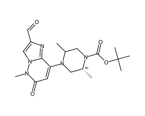 CC1CN(C(=O)OC(C)(C)C)[C@H](C)CN1c1cc(=O)n(C)n2cc(C=O)nc12